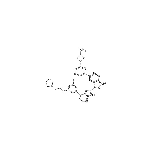 NC1CN(c2cncc(-c3cc4c(-c5cc6c(-c7cc(F)cc(OCCN8CCCC8)c7)ccnc6[nH]5)n[nH]c4cn3)n2)C1